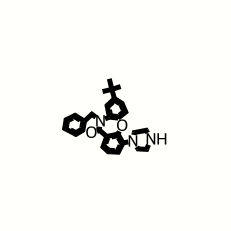 CC(C)(C)c1ccc2c(c1)N(Cc1ccccc1)C(=O)c1cccc(N3CCNCC3)c1O2